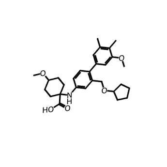 COc1cc(-c2ccc(NC3(C(=O)O)CCC(OC)CC3)cc2COC2CCCC2)cc(C)c1C